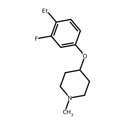 CCc1ccc(OC2CCN(C)CC2)cc1F